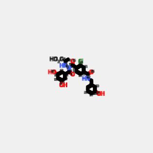 C[C@H](NN(C(=O)c1cc(O)cc(O)c1)C(=O)c1ccc(C(=O)NCc2cccc(O)c2)cc1Cl)C(=O)O